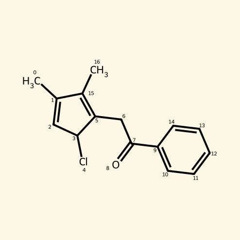 CC1=CC(Cl)C(CC(=O)c2ccccc2)=C1C